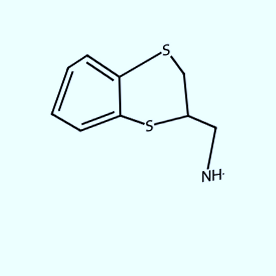 [NH]CC1CSc2ccccc2S1